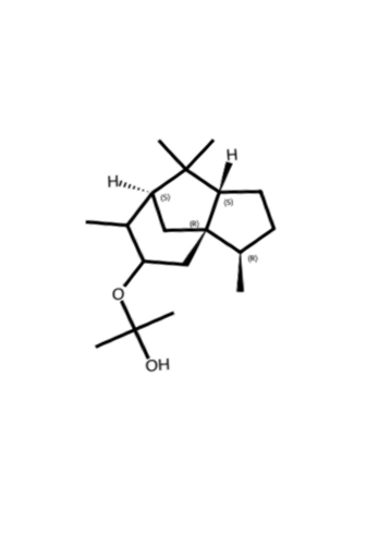 CC1C(OC(C)(C)O)C[C@@]23C[C@@H]1C(C)(C)[C@@H]2CC[C@H]3C